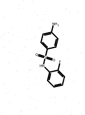 Nc1ccc(S(=O)(=O)Nc2ccccc2F)cc1